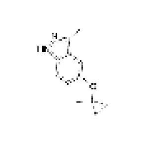 Cc1n[nH]c2ccc(OC3(C)CC3)cc12